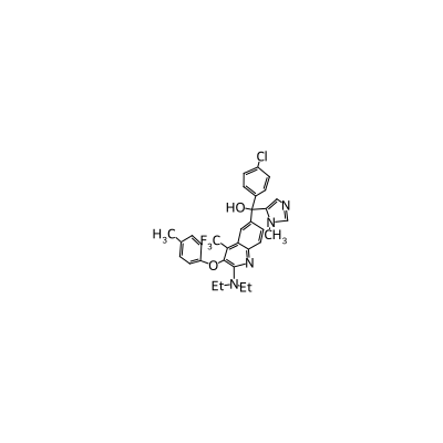 CCN(CC)c1nc2ccc(C(O)(c3ccc(Cl)cc3)c3cncn3C)cc2c(C(F)(F)F)c1Oc1ccc(C)cc1